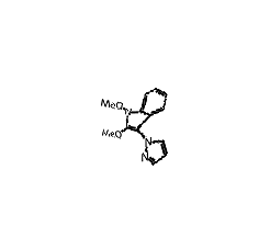 COc1c(-n2cccn2)c2ccccc2n1OC